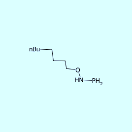 CCCCCCCCONP